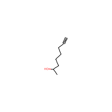 [C]#CCCCCC(C)O